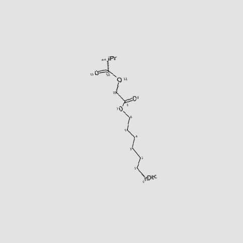 CCCCCCCCCCCCCCCCOC(=O)COC(=O)C(C)C